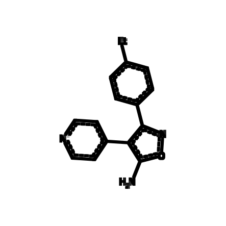 CCc1ccc(-c2noc(N)c2-c2ccncc2)cc1